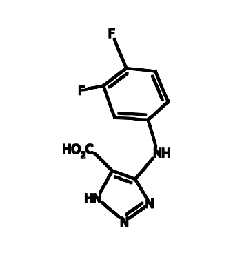 O=C(O)c1[nH]nnc1Nc1ccc(F)c(F)c1